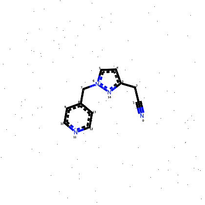 N#CCc1ccn(Cc2ccncc2)n1